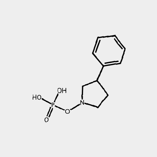 O=P(O)(O)ON1CCC(c2ccccc2)C1